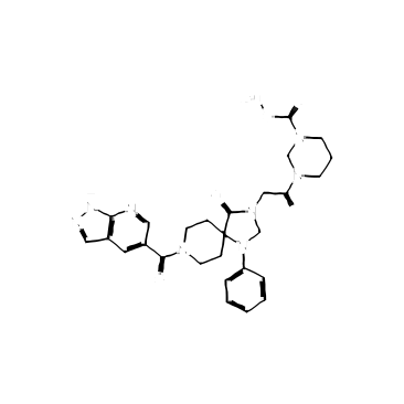 CC(C)(C)OC(=O)N1CCCN(C(=O)CN2CN(c3ccccc3)C3(CCN(C(=O)c4cnc5[nH]ncc5c4)CC3)C2=O)C1